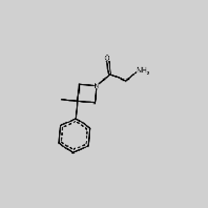 CC1(c2ccccc2)CN(C(=O)CN)C1